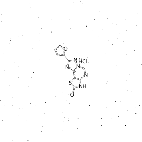 Cl.O=c1[nH]c2ncn3nc(-c4ccco4)nc3c2s1